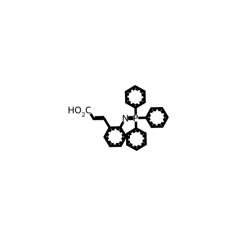 O=C(O)C=Cc1ccccc1N=P(c1ccccc1)(c1ccccc1)c1ccccc1